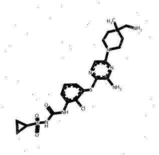 CC1(CN)CCN(c2cnc(Sc3cccc(NC(=O)NS(=O)(=O)C4CC4)c3Cl)c(N)n2)CC1